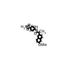 COc1ccc2cc(C(C)C(=O)Nc3ccc(S(C)(=O)=O)cc3)ccc2c1